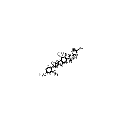 CCOc1cc(C(F)(F)F)ccc1C(=O)NC1Cc2cc(OC)c(S(=O)(=O)Nc3nnc(C(C)C)s3)cc2C1